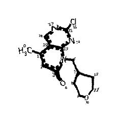 Cc1cc(=O)n(CC2CCOCC2)c2nc(Cl)ncc12